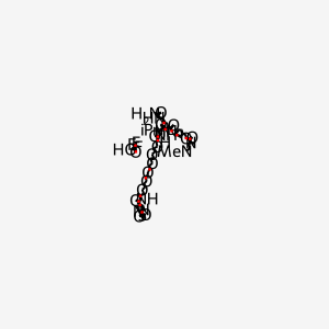 CNCCN(C)C(=O)OCc1ccc(NC(=O)[C@H](CCCNC(N)=O)NC(=O)[C@@H](NC(=O)CCOCCOCCOCCOCCOCCOCCNC(=O)c2cnc(S(C)(=O)=O)nc2)C(C)C)cc1.O=C(O)C(F)(F)F